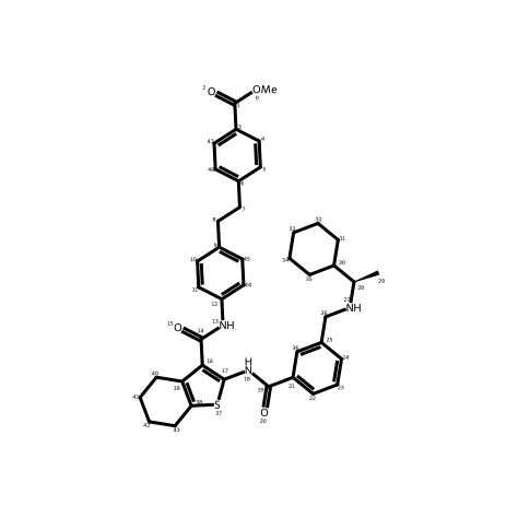 COC(=O)c1ccc(CCc2ccc(NC(=O)c3c(NC(=O)c4cccc(CN[C@H](C)C5CCCCC5)c4)sc4c3CCCC4)cc2)cc1